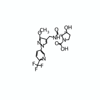 COc1nn(-c2ccc(C(F)(F)F)nc2)cc1CNC(=O)[C@@H]1[C@@H](O)CCN1C(=O)O